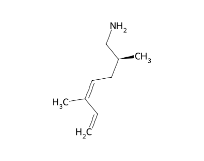 C=C/C(C)=C\C[C@H](C)CN